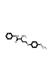 CSc1ccc(SCCC(N)C(=O)Nc2ccccc2)cc1